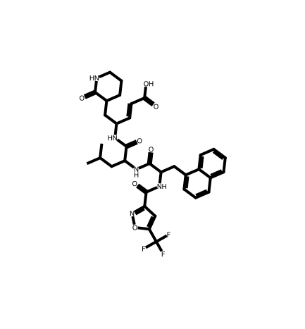 CC(C)CC(NC(=O)C(Cc1cccc2ccccc12)NC(=O)c1cc(C(F)(F)F)on1)C(=O)NC(/C=C/C(=O)O)CC1CCCNC1=O